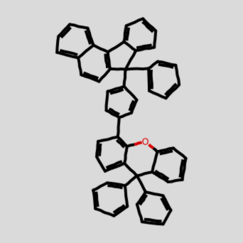 c1ccc(C2(c3ccccc3)c3ccccc3Oc3c(-c4ccc(C5(c6ccccc6)c6ccccc6-c6c5ccc5ccccc65)cc4)cccc32)cc1